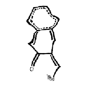 CCC(C)/C=C1/C=c2ccccc2=CC1=O